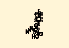 [N-]=[N+]=N[C@@H]1CN(C(=O)O)C[C@H]1OCc1ccc(C(F)(F)F)cc1